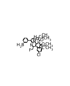 Bc1cccc(-c2cnn3c(N(C(=O)OC(C)(C)C)C(=O)OC(C)(C)C)c(-c4cccc(Cl)c4)c(CF)nc23)c1